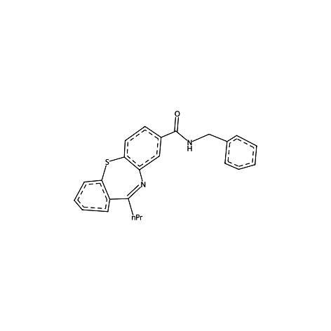 CCCC1=Nc2cc(C(=O)NCc3ccccc3)ccc2Sc2ccccc21